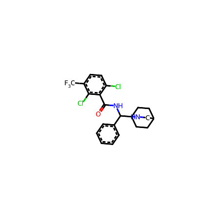 O=C(NC(c1ccccc1)C12CCC(CC1)CN2)c1c(Cl)ccc(C(F)(F)F)c1Cl